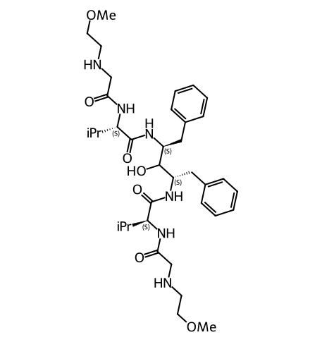 COCCNCC(=O)N[C@H](C(=O)N[C@@H](Cc1ccccc1)C(O)[C@H](Cc1ccccc1)NC(=O)[C@@H](NC(=O)CNCCOC)C(C)C)C(C)C